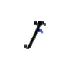 CCCCCCCC/C=C/CCCCCCCCCCCCCC(N)CCCCCCCCC(C)C